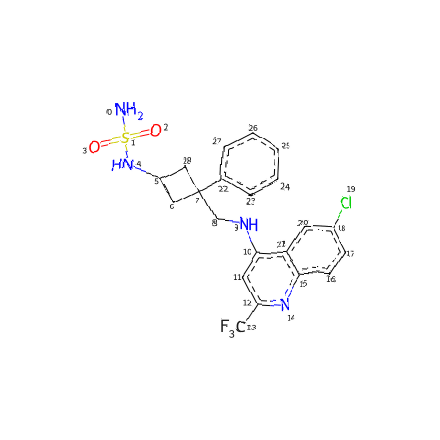 NS(=O)(=O)NC1CC(CNc2cc(C(F)(F)F)nc3ccc(Cl)cc23)(c2ccccc2)C1